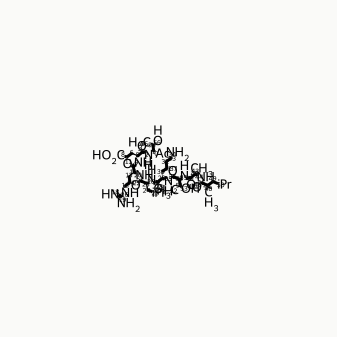 CC(=O)[C@@H](NC(=O)[C@H](CCC(=O)O)NC(=O)[C@H](CCCNC(=N)N)NC(=O)[C@H](CC(C)C)NC(=O)[C@H](CCCCN)NC(=O)[C@@H](NC(=O)[C@H](C)NC(=O)[C@@H](C)CC(C)C)[C@@H](C)O)[C@@H](C)O